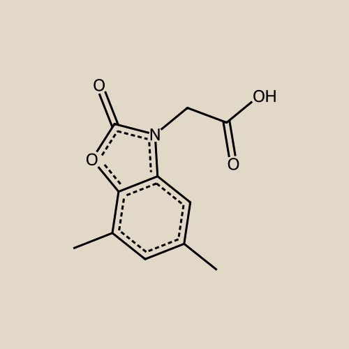 Cc1cc(C)c2oc(=O)n(CC(=O)O)c2c1